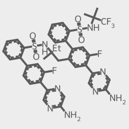 CCC(C)(Cc1cc(-c2cnc(N)cn2)c(F)cc1-c1ccccc1S(=O)(=O)NC(C)(C)C(F)(F)F)NS(=O)(=O)c1ccccc1-c1ccc(-c2cnc(N)cn2)c(F)c1